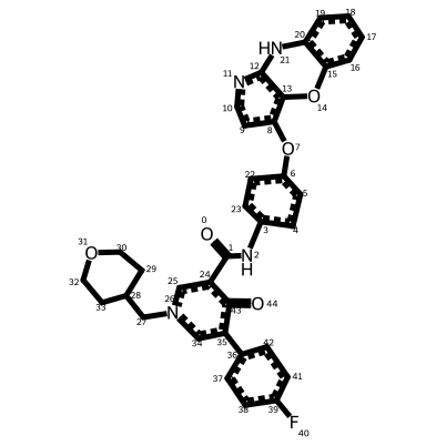 O=C(Nc1ccc(Oc2ccnc3c2Oc2ccccc2N3)cc1)c1cn(CC2CCOCC2)cc(-c2ccc(F)cc2)c1=O